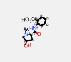 CC(=O)N1C[C@H](O)C[C@H]1C(=O)Nc1ccccc1C(=O)O